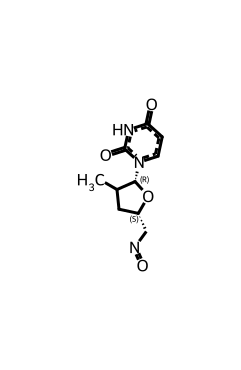 CC1C[C@@H](CN=O)O[C@H]1n1ccc(=O)[nH]c1=O